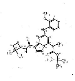 COc1ncccc1Nc1cc(N(C)C(=O)OC(C)(C)C)n2ncc(C(=O)NC3CC[C@@]3(C)O)c2n1